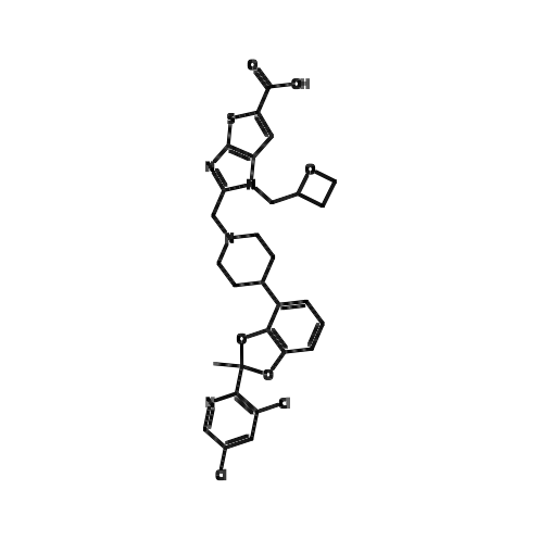 CC1(c2ncc(Cl)cc2Cl)Oc2cccc(C3CCN(Cc4nc5sc(C(=O)O)cc5n4CC4CCO4)CC3)c2O1